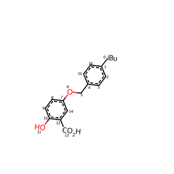 CCC(C)c1ccc(COc2ccc(O)c(C(=O)O)c2)cc1